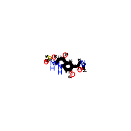 COc1cc2[nH]c(NS(C)(=O)=O)cc(=O)c2cc1-c1cnco1